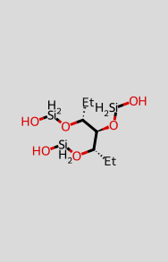 CC[C@H](O[SiH2]O)[C@H](O[SiH2]O)[C@@H](CC)O[SiH2]O